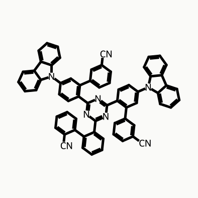 N#Cc1cccc(-c2cc(-n3c4ccccc4c4ccccc43)ccc2-c2nc(-c3ccc(-n4c5ccccc5c5ccccc54)cc3-c3cccc(C#N)c3)nc(-c3ccccc3-c3ccccc3C#N)n2)c1